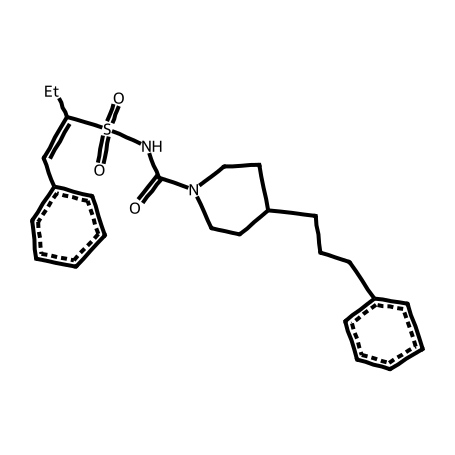 CCC(=Cc1ccccc1)S(=O)(=O)NC(=O)N1CCC(CCCc2ccccc2)CC1